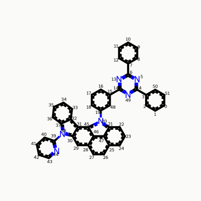 c1ccc(-c2nc(-c3ccccc3)nc(-c3cccc(-n4c5cccc6ccc7cc8c(c9ccccc9n8-c8ccccn8)c4c7c65)c3)n2)cc1